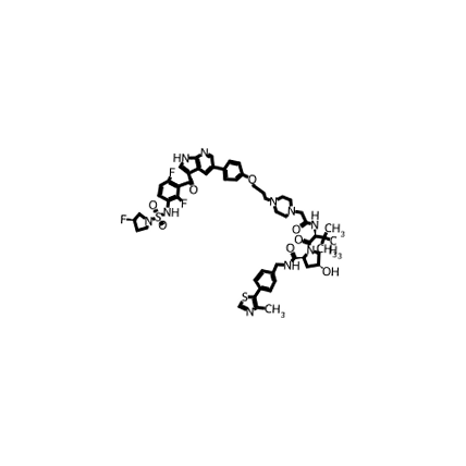 Cc1ncsc1-c1ccc(CNC(=O)[C@@H]2C[C@@H](O)CN2C(=O)[C@@H](NC(=O)CN2CCN(CCCOc3ccc(-c4cnc5[nH]cc(C(=O)c6c(F)ccc(NS(=O)(=O)N7CC[C@@H](F)C7)c6F)c5c4)cc3)CC2)C(C)(C)C)cc1